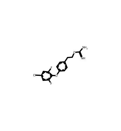 N=C(N)OCCc1ccc(Oc2c(F)cc(Cl)cc2F)cc1